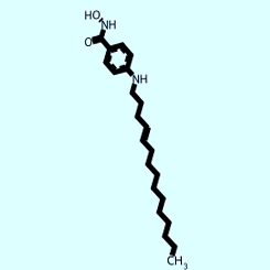 CCCCCCCCCCC=CCCCNc1ccc(C(=O)NO)cc1